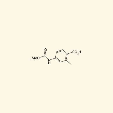 COC(=O)Nc1ccc(C(=O)O)c(C)c1